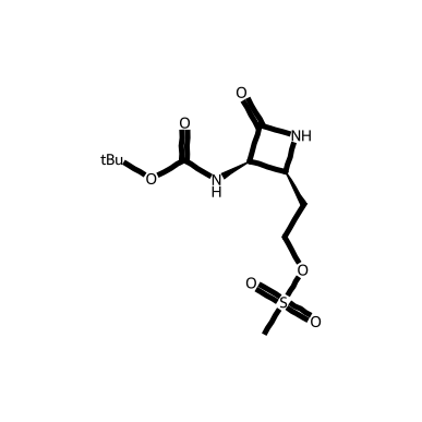 CC(C)(C)OC(=O)N[C@H]1C(=O)N[C@H]1CCOS(C)(=O)=O